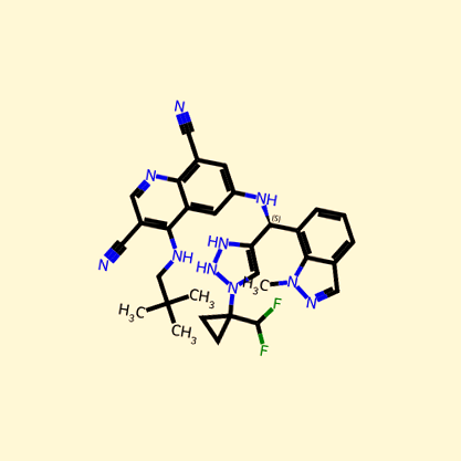 Cn1ncc2cccc([C@H](Nc3cc(C#N)c4ncc(C#N)c(NCC(C)(C)C)c4c3)C3=CN(C4(C(F)F)CC4)NN3)c21